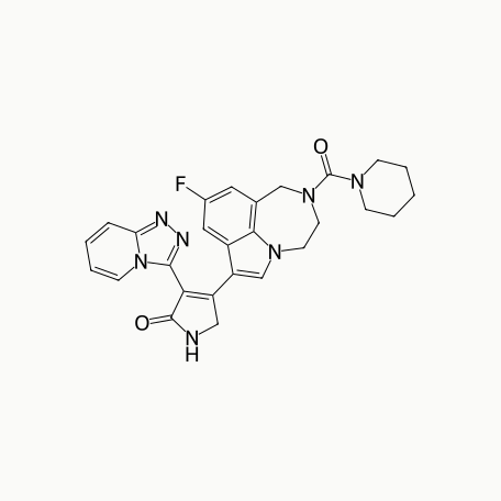 O=C1NCC(c2cn3c4c(cc(F)cc24)CN(C(=O)N2CCCCC2)CC3)=C1c1nnc2ccccn12